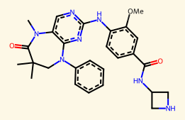 COc1cc(C(=O)NC2CNC2)ccc1Nc1ncc2c(n1)N(c1ccccc1)CC(C)(C)C(=O)N2C